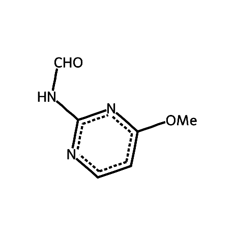 COc1ccnc(NC=O)n1